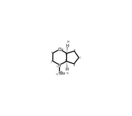 CC(C)(C)N1CCO[C@H]2CCC[C@H]21